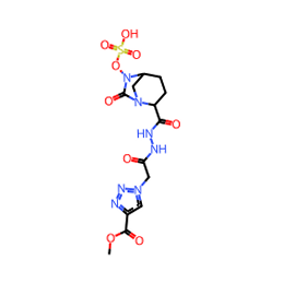 COC(=O)c1cn(CC(=O)NNC(=O)C2CCC3CN2C(=O)N3OS(=O)(=O)O)nn1